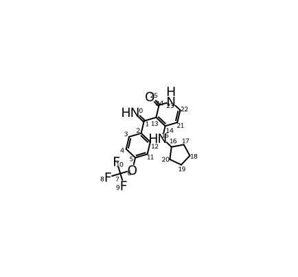 N=C(c1ccc(OC(F)(F)F)cc1)c1c(NC2CCCC2)cc[nH]c1=O